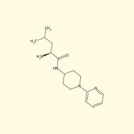 CC(C)C[C@H](N)C(=O)NC1CCN(c2ccccn2)CC1